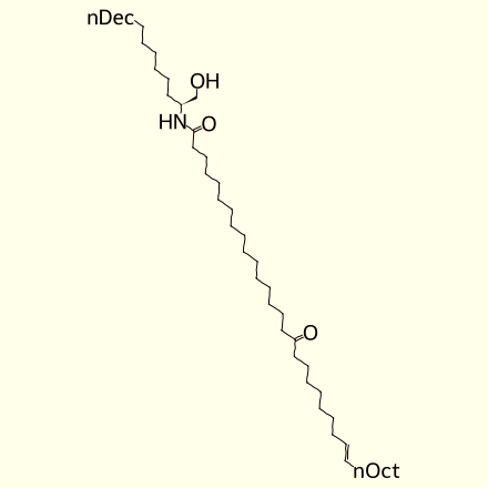 CCCCCCCCC=CCCCCCCCC(=O)CCCCCCCCCCCCCCCC(=O)N[C@H](CO)CCCCCCCCCCCCCCCC